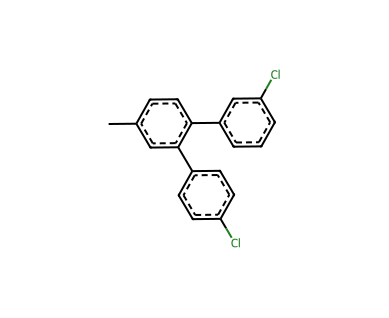 Cc1ccc(-c2cccc(Cl)c2)c(-c2ccc(Cl)cc2)c1